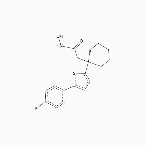 O=C(CC1(c2ccc(-c3ccc(F)cc3)s2)CCCCS1)NO